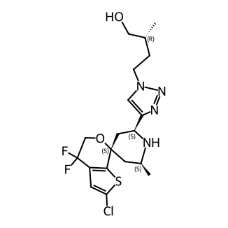 C[C@@H](CO)CCn1cc([C@@H]2C[C@]3(C[C@H](C)N2)OCC(F)(F)c2cc(Cl)sc23)nn1